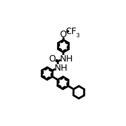 O=C(Nc1ccc(OC(F)(F)F)cc1)Nc1ccccc1-c1ccc(C2CCCCC2)cc1